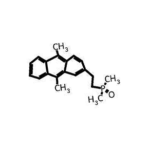 Cc1c2ccccc2c(C)c2cc(CCP(C)(C)=O)ccc12